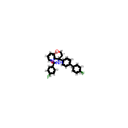 O=C(NC1(c2ccc(-c3ccc(F)cc3)cc2)CCOc2cccnc21)c1ccc(F)cc1